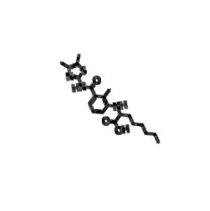 CCCCCCC(Nc1cccc(C(=O)Nc2nc(C)c(C)s2)c1C)C(=O)O